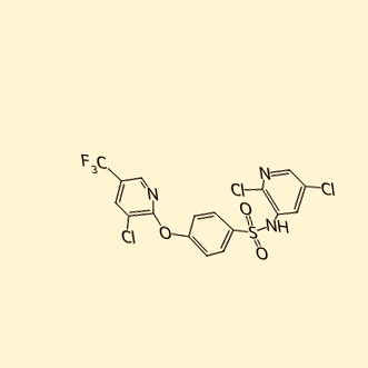 O=S(=O)(Nc1cc(Cl)cnc1Cl)c1ccc(Oc2ncc(C(F)(F)F)cc2Cl)cc1